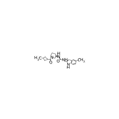 Cc1ccc2[nH]c(CNC(=O)N[C@@H]3CCCN(C(=O)C4CC(C)C4)C3)cc2c1